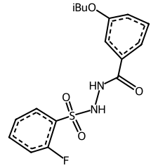 CC(C)COc1cccc(C(=O)NNS(=O)(=O)c2ccccc2F)c1